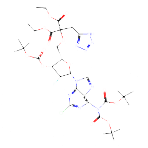 CCOC(=O)C(Cc1nnn[nH]1)(OC[C@H]1O[C@@H](n2cnc3c(N(C(=O)OC(C)(C)C)C(=O)OC(C)(C)C)nc(Cl)nc32)[C@@H](F)[C@@H]1OC(=O)OC(C)(C)C)C(=O)OCC